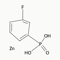 O=P(O)(O)c1cccc(F)c1.[Zn]